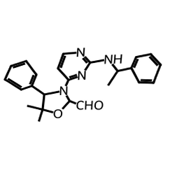 CC(Nc1nccc(N2C(C=O)OC(C)(C)C2c2ccccc2)n1)c1ccccc1